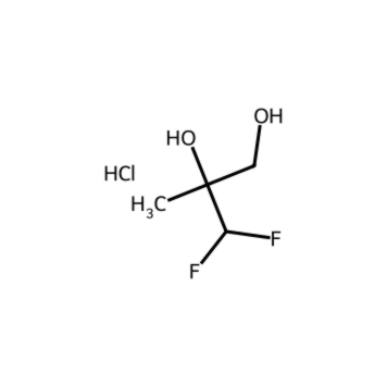 CC(O)(CO)C(F)F.Cl